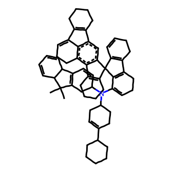 CC1(C)C2=C(C=CC(N(C3=CCCC4=C3C3(C5=C4CCC=C5)C4=C(CCCC4)c4c3cc3c5c4CCC=C5C4=C3CCCC4)C3CC=C(C4CCCCC4)CC3)C2)C2C=CC=CC21